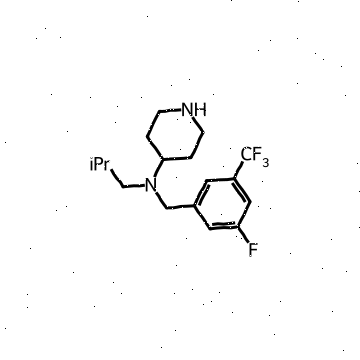 CC(C)CN(Cc1cc(F)cc(C(F)(F)F)c1)C1CCNCC1